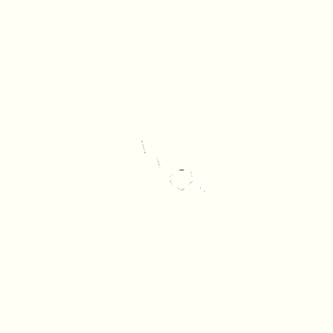 CCN(CC)c1ccc(C=CC=CC(C)O)cc1